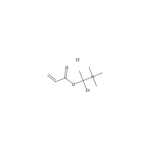 C=CC(=O)OC(C)(CC)[N+](C)(C)C.[Cl-]